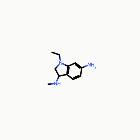 CCN1CC(NC)c2ccc(N)cc21